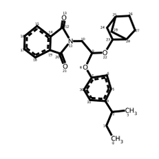 CCC(C)c1ccc(OC(CN2C(=O)c3ccccc3C2=O)OC2CC3CCC2C3)cc1